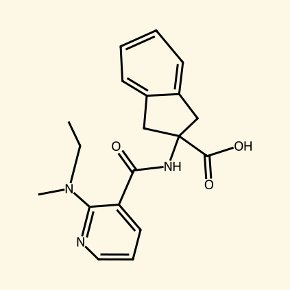 CCN(C)c1ncccc1C(=O)NC1(C(=O)O)Cc2ccccc2C1